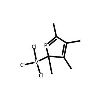 CC1=P[C](C)([V]([Cl])([Cl])[Cl])C(C)=C1C